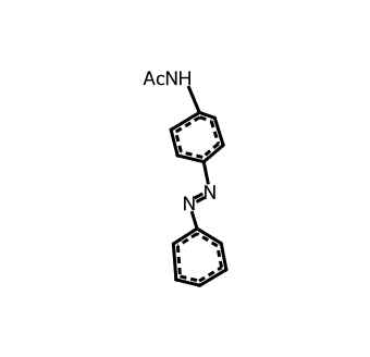 CC(=O)Nc1ccc(N=Nc2ccccc2)cc1